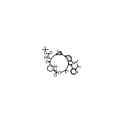 CCn1c(-c2cccnc2C(C)C)c2c3nc(ccc31)-c1csc(n1)C[C@H](NC(=O)OC(C)(C)C)C(=O)N1CCC[C@H](N1)C(=O)OCC(C)(C)C2